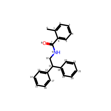 Cc1ccccc1C(=O)NCC(c1ccccc1)c1ccccc1